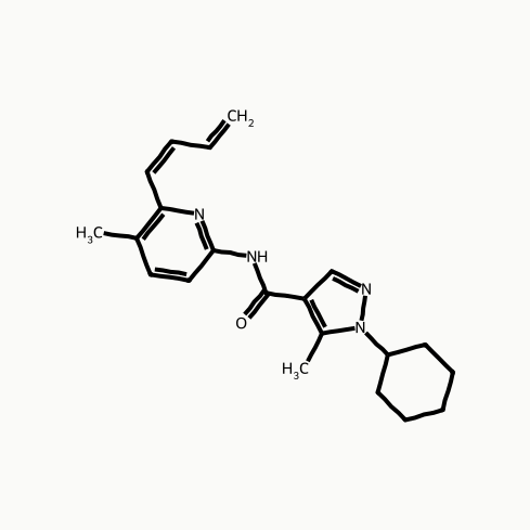 C=C/C=C\c1nc(NC(=O)c2cnn(C3CCCCC3)c2C)ccc1C